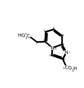 O=C(O)Cc1cccc2nc(C(=O)O)cn12